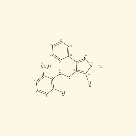 CCc1cccc(C(=O)O)c1OCc1c(-c2ccccc2)nn(C)c1Cl